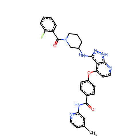 Cc1ccnc(NC(=O)c2ccc(Oc3ccnc4[nH]nc(NC5CCCN(C(=O)c6ccccc6F)C5)c34)cc2)c1